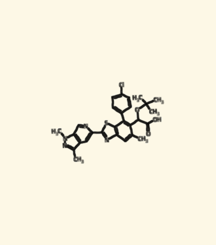 Cc1cc2nc(-c3cc4c(C)nn(C)c4cn3)sc2c(-c2ccc(Cl)cc2)c1C(OC(C)(C)C)C(=O)O